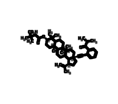 C=C(C)[C@@H]1CC[C@]2(C#Cc3ccccc3C(=O)N(C)C)CC[C@]3(C)C(CCC4[C@@]5(C)CC[C@H](OC(=O)CC(C)(C)C(=O)O)C(C)(C)C5CC[C@]43C)C12